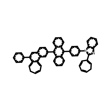 C1=CCC=C(c2nc3ccccc3n2-c2ccc(-c3c4ccccc4c(-c4ccc5cc(-c6ccccc6)c6c(c5c4)=CC=CCC=6)c4ccccc34)cc2)C=C1